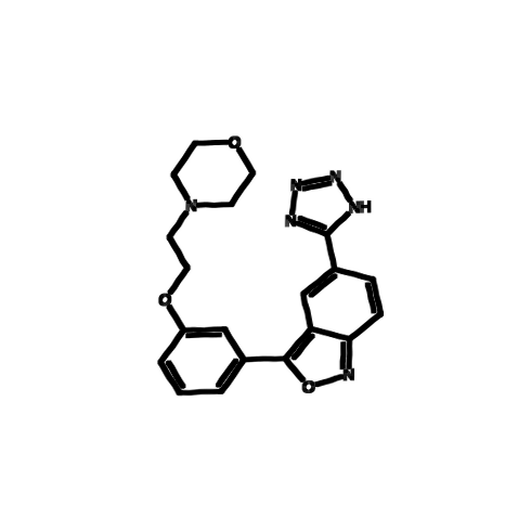 c1cc(OCCN2CCOCC2)cc(-c2onc3ccc(-c4nnn[nH]4)cc23)c1